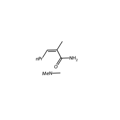 CCCC=C(C)C(N)=O.CNC